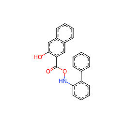 O=C(ONc1ccccc1-c1ccccc1)c1cc2ccccc2cc1O